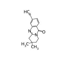 C#Cc1ccc2c(=O)n3c(nc2c1)CC(C)(C)CC3